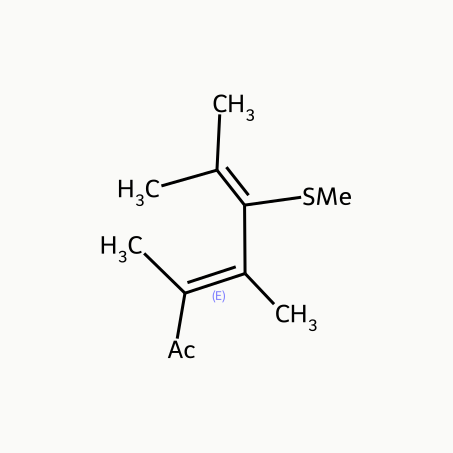 CSC(=C(C)C)/C(C)=C(\C)C(C)=O